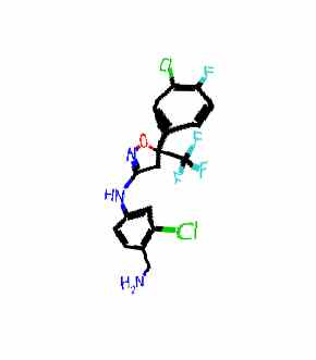 NCc1ccc(NC2=NOC(c3ccc(F)c(Cl)c3)(C(F)(F)F)C2)cc1Cl